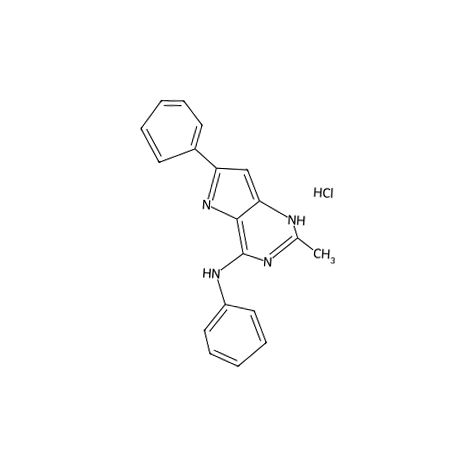 Cc1nc(Nc2ccccc2)c2nc(-c3ccccc3)cc-2[nH]1.Cl